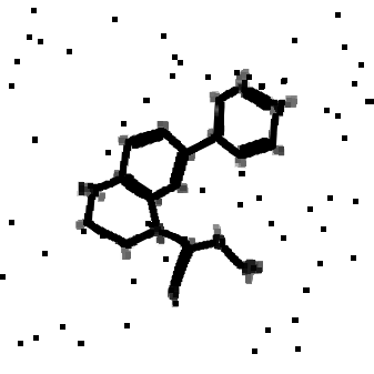 CC(C)(C)OC(=O)N1CCNc2ccc(-c3ccnnc3)cc21